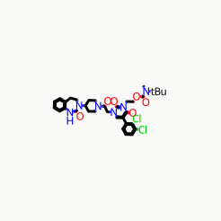 CN(C(=O)OCCn1c(=O)c(-c2cccc(Cl)c2Cl)cn(CC(=O)N2CCC(N3CCc4ccccc4NC3=O)CC2)c1=O)C(C)(C)C